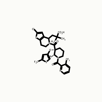 CCC[C@H]1N(C(=O)c2ncccc2C(F)(F)F)CCC[C@]1(Oc1csc(C(F)(F)F)c1)C(=O)N1CCc2sc(Cl)cc2C1CC(C)(C)C(=O)O